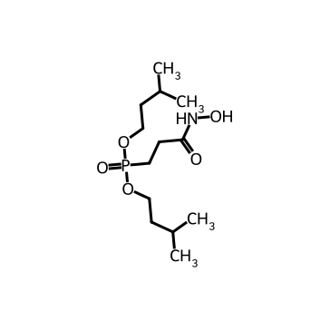 CC(C)CCOP(=O)(CCC(=O)NO)OCCC(C)C